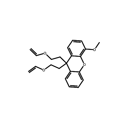 C=COCCC1(CCOC=C)c2ccccc2Oc2c(OC)cccc21